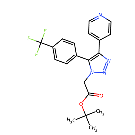 CC(C)(C)OC(=O)Cn1nnc(-c2ccncc2)c1-c1ccc(C(F)(F)F)cc1